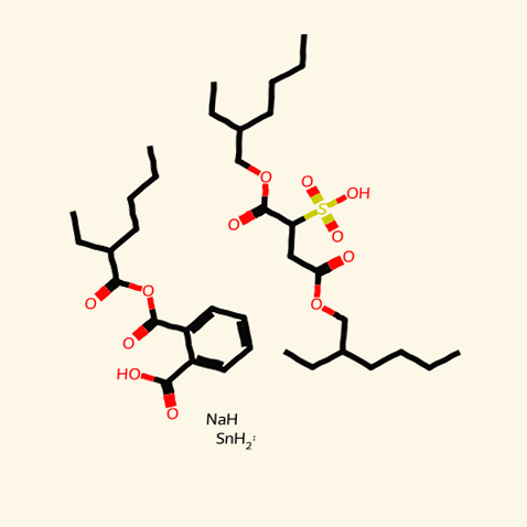 CCCCC(CC)C(=O)OC(=O)c1ccccc1C(=O)O.CCCCC(CC)COC(=O)CC(C(=O)OCC(CC)CCCC)S(=O)(=O)O.[NaH].[SnH2]